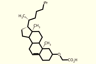 CC(C)CCC[C@@H](C)[C@H]1CCC2C3CC=C4CCC(OCC(=O)O)C[C@]4(C)C3CC[C@@]21C